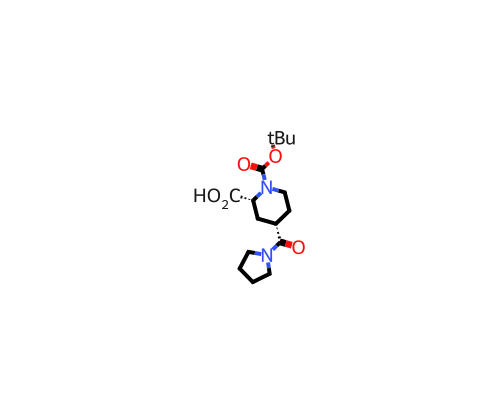 CC(C)(C)OC(=O)N1CC[C@H](C(=O)N2CCCC2)C[C@@H]1C(=O)O